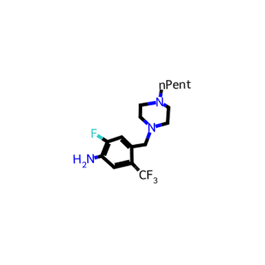 CCCCCN1CCN(Cc2cc(F)c(N)cc2C(F)(F)F)CC1